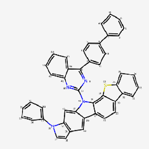 c1ccc(-c2ccc(-c3nc(-n4c5cc6c(ccn6-c6ccccc6)cc5c5ccc6c7ccccc7sc6c54)nc4ccccc34)cc2)cc1